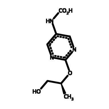 C[C@@H](CO)Oc1ncc(NC(=O)O)cn1